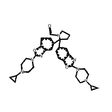 O=CN1CCCC1(c1ccc2oc(N3CCN(C4CC4)CC3)nc2c1)c1ccc2oc(N3CCN(C4CC4)CC3)nc2c1